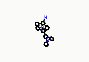 N#Cc1cc(-c2ccccc2)c(-n2c3ccccc3c3cc(-c4ccc5c(c4)c4ccccc4n5-c4ccccc4)ccc32)c(-c2ccccc2)c1